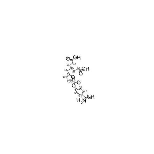 N=C(N)c1ccc(OC(=O)c2ccc(CC(CCC(=O)O)CCC(=O)O)o2)cc1